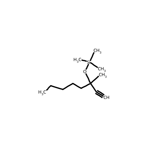 C#CC(C)(CCCCC)O[Si](C)(C)C